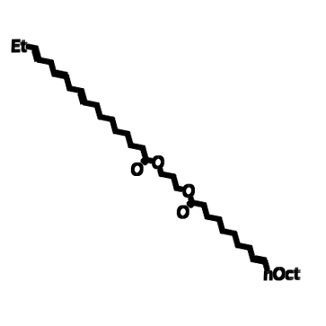 CC/C=C/C/C=C/C/C=C/CCCCCCCC(=O)OCCCOC(=O)CCCCCCC/C=C/CCCCCCCC